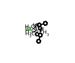 CC1=Cc2c(-c3ccccc3)cccc2[CH]1[Zr+2]([CH]1C(C)=Cc2c(-c3ccccc3)cccc21)[SiH](C)C(C)C.[Cl-].[Cl-]